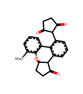 COc1cccc(-c2c(C3C(=O)CCC3=O)cccc2C2C(=O)CCC2=O)c1Br